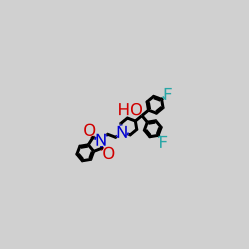 O=C1c2ccccc2C(=O)N1CCN1CCC(C(O)(c2ccc(F)cc2)c2ccc(F)cc2)CC1